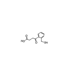 O=C(O)CCC(=O)c1ccccc1CS